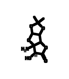 CC1(C)OC2OC3(N)C(OC(=O)[C@H]3O)C2O1